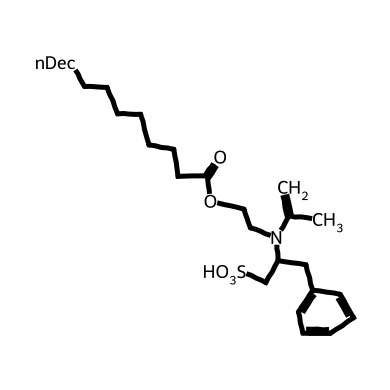 C=C(C)N(CCOC(=O)CCCCCCCCCCCCCCCCC)C(Cc1ccccc1)CS(=O)(=O)O